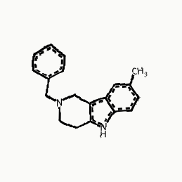 Cc1ccc2[nH]c3c(c2c1)CN(Cc1ccccc1)CC3